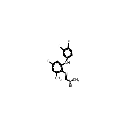 CCN(C)C=Nc1c(C)cc(F)cc1Nc1ccc(F)c(F)c1